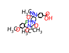 COc1ccc(F)c(C(=O)NC(C(=O)N2CCC3(CC2)C(=O)N(C)CN3c2ccc(C(=O)O)cc2)C(C)C)c1